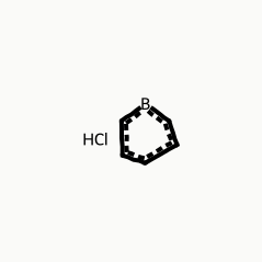 Cl.b1ccccc1